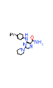 CC(C)c1ccc(Nc2nc(N3CCCCC3)cnc2C(N)=O)cc1